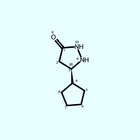 O=C1C[C@H](C2CCCC2)NN1